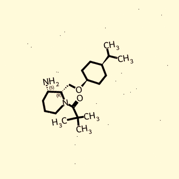 CC(C)[C@H]1CC[C@@H](OC[C@H]2[C@@H](N)CCCN2C(=O)C(C)(C)C)CC1